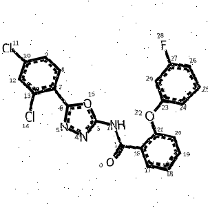 O=C(Nc1nnc(-c2ccc(Cl)cc2Cl)o1)c1ccccc1Oc1cccc(F)c1